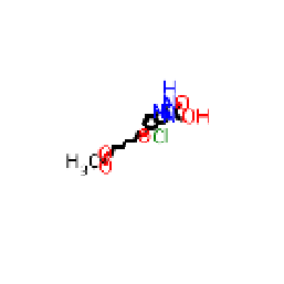 CC(=O)OCCCCCCOc1ccc2c(c1Cl)CN1C(=N2)NC(=O)C1CO